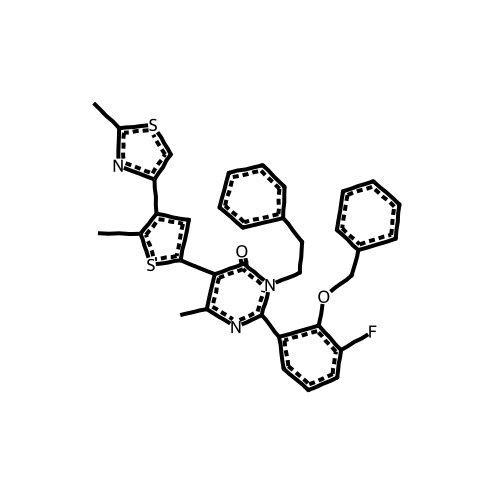 Cc1nc(-c2cc(-c3c(C)nc(-c4cccc(F)c4OCc4ccccc4)n(CCc4ccccc4)c3=O)sc2C)cs1